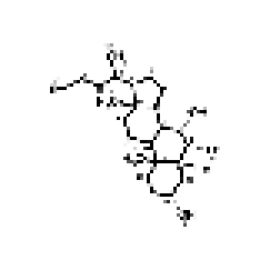 CC[C@H]1[C@@H](O)C2C3CC[C@H]([C@H](C)CCC(C)C)[C@@]3(C)CCC2[C@@]2(C)CC[C@@H](O)C[C@@H]12